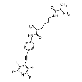 CC(N)C(=O)NCCCCC(N)C(=O)Nc1ccc(C#Cc2c(F)c(F)nc(F)c2F)cc1